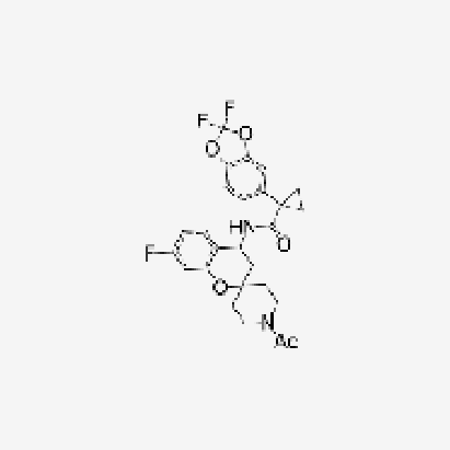 CC(=O)N1CCC2(CC1)CC(NC(=O)C1(c3ccc4c(c3)OC(F)(F)O4)CC1)c1ccc(F)cc1O2